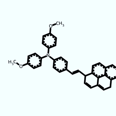 COc1ccc(N(c2ccc(C=CC3C=CC4=CCc5cccc6ccc3c4c56)cc2)c2ccc(OC)cc2)cc1